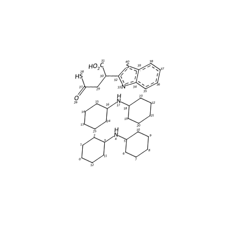 C1CCC(NC2CCCCC2)CC1.C1CCC(NC2CCCCC2)CC1.O=C(S)CC(C(=O)O)c1nc2ccccc2s1